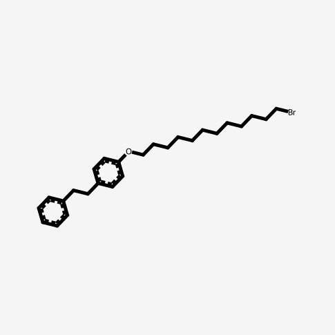 BrCCCCCCCCCCCCOc1ccc(CCc2ccccc2)cc1